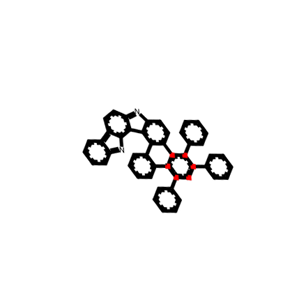 c1ccc(-c2ccccc2-c2ccccc2-c2c(-c3nnnc(-c4ccccc4)c3-c3ccccc3)ccc3c2-c2c4c(ccc2=N3)=c2ccccc2=N4)cc1